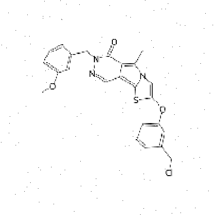 COc1cccc(Cn2ncc3c(c(C)n4cc(Oc5cccc(CCl)c5)sc34)c2=O)c1